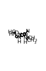 CCC(CC)Nc1nc(C#N)cc2cnc(N[C@H]3CC[C@H](NC(=O)O)C3)cc12